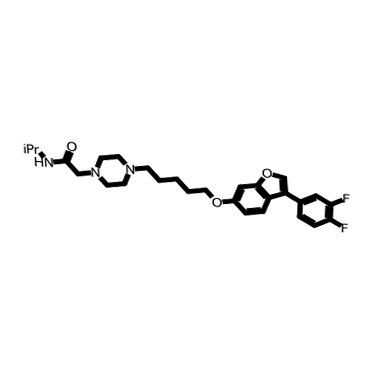 CC(C)NC(=O)CN1CCN(CCCCCOc2ccc3c(-c4ccc(F)c(F)c4)coc3c2)CC1